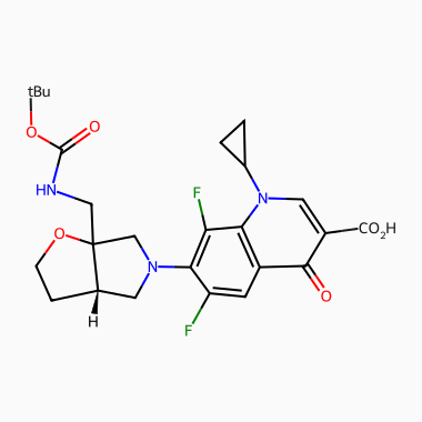 CC(C)(C)OC(=O)NCC12CN(c3c(F)cc4c(=O)c(C(=O)O)cn(C5CC5)c4c3F)C[C@@H]1CCO2